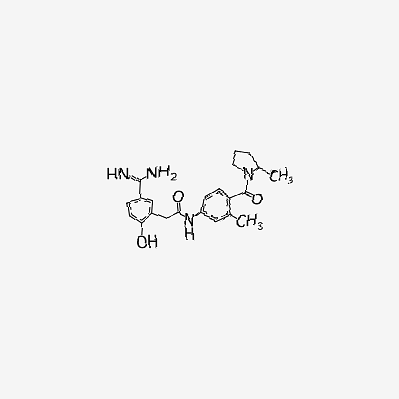 Cc1cc(NC(=O)Cc2cc(C(=N)N)ccc2O)ccc1C(=O)N1CCCC1C